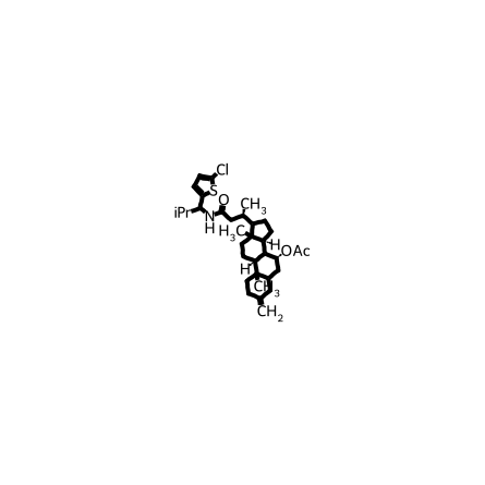 C=C1CCC2(C)C(C1)C[C@@H](OC(C)=O)C1[C@@H]2CCC2(C)C([C@H](C)CC(=O)NC(c3ccc(Cl)s3)C(C)C)CC[C@@H]12